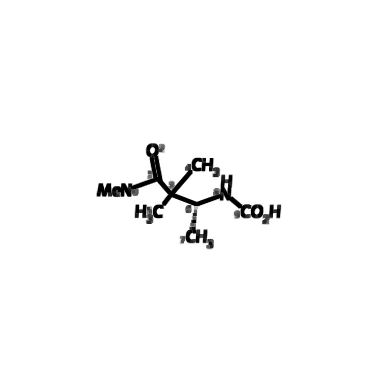 CNC(=O)C(C)(C)[C@@H](C)NC(=O)O